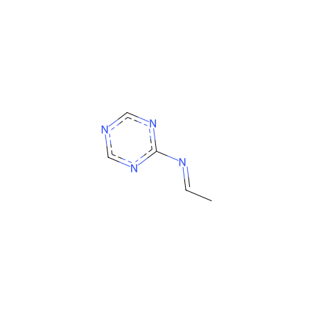 CC=Nc1ncncn1